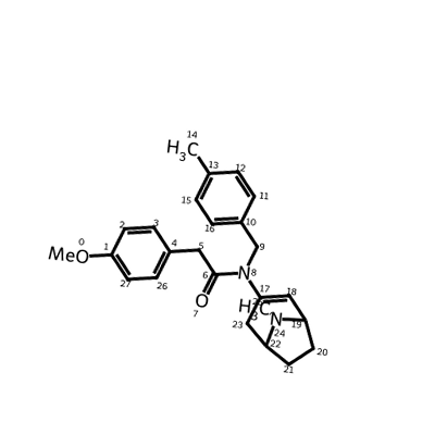 COc1ccc(CC(=O)N(Cc2ccc(C)cc2)C2=CC3CCC(C2)N3C)cc1